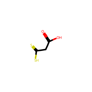 O=C(O)CC(=S)S